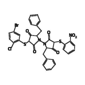 O=C1C(Sc2cc(Br)ccc2Cl)C(=O)N(N2C(=O)C(Sc3ccccc3[N+](=O)[O-])C(=O)C2Cc2ccccc2)C1Cc1ccccc1